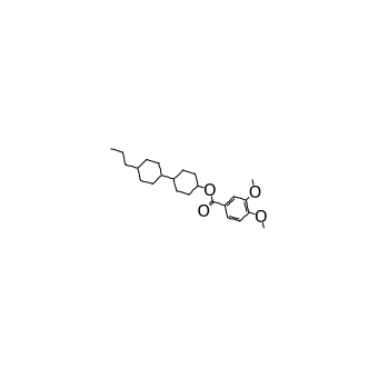 CCCC1CCC(C2CCC(OC(=O)c3ccc(OC)c(OC)c3)CC2)CC1